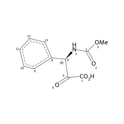 COC(=O)N[C@@H](C(=O)C(=O)O)c1ccccc1